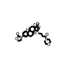 C[C@]12CC[C@@H]3c4ccc(N5CCOC5=O)cc4CC[C@H]3[C@@H]1[C@@H](CCCC(=O)N1CCOCC1)CC2=O